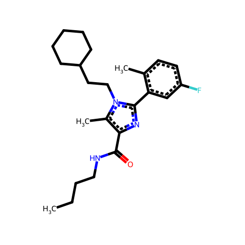 CCCCNC(=O)c1nc(-c2cc(F)ccc2C)n(CCC2CCCCC2)c1C